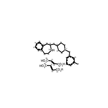 Cc1cccc(CN2CCC(CC3Cc4ccccc4CCN3)CC2)c1.O=C(O)C=CC(=O)O.O=C(O)C=CC(=O)O